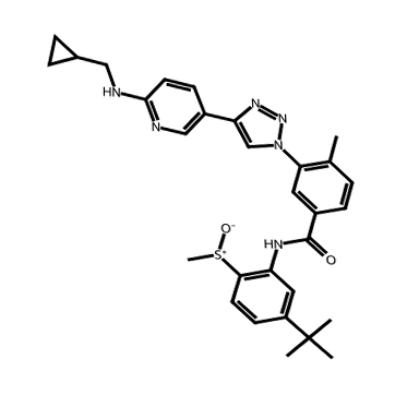 Cc1ccc(C(=O)Nc2cc(C(C)(C)C)ccc2[S+](C)[O-])cc1-n1cc(-c2ccc(NCC3CC3)nc2)nn1